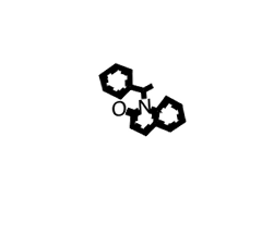 CC(c1ccccc1)n1c(=O)ccc2ccccc21